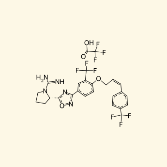 N=C(N)N1CCC[C@H]1c1nc(-c2ccc(OC/C=C\c3ccc(C(F)(F)F)cc3)c(C(F)(F)F)c2)no1.O=C(O)C(F)(F)F